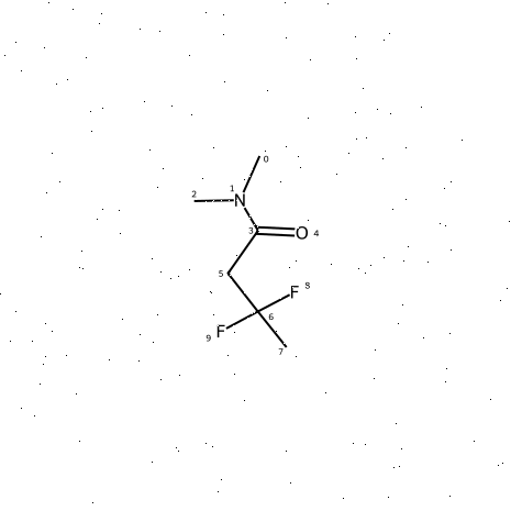 CN(C)C(=O)CC(C)(F)F